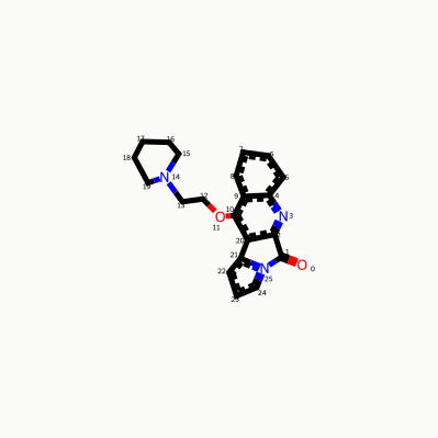 O=C1c2nc3ccccc3c(OCCN3CCCCC3)c2-c2cccn21